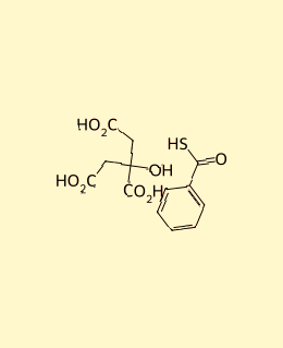 O=C(O)CC(O)(CC(=O)O)C(=O)O.O=C(S)c1ccccc1